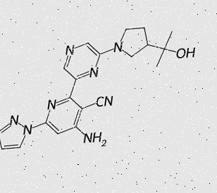 CC(C)(O)C1CCN(c2cncc(-c3nc(-n4cccn4)cc(N)c3C#N)n2)C1